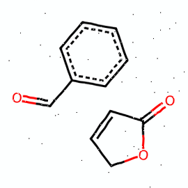 O=C1C=CCO1.O=Cc1ccccc1